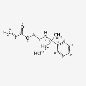 C=CC(=O)OCCNC(C)(C)c1ccccc1.Cl